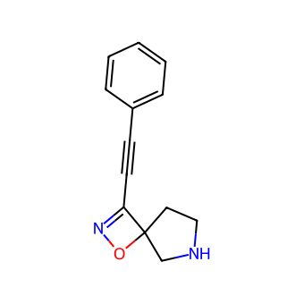 C(#Cc1ccccc1)C1=NOC12CCNC2